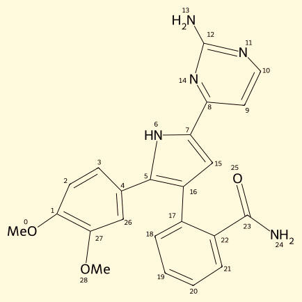 COc1ccc(-c2[nH]c(-c3ccnc(N)n3)cc2-c2ccccc2C(N)=O)cc1OC